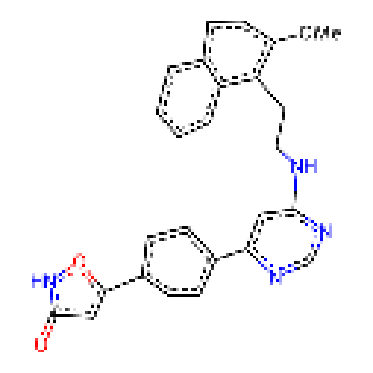 COc1ccc2ccccc2c1CCNc1cc(-c2ccc(-c3cc(=O)[nH]o3)cc2)ncn1